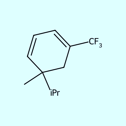 CC(C)C1(C)C=CC=C(C(F)(F)F)C1